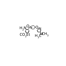 CCOC(=O)c1ccc(N)c(C(=O)N2CCC(Oc3ccc(N(C)C)cn3)CC2)c1